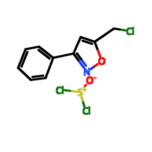 ClCc1cc(-c2ccccc2)no1.[O-][S+](Cl)Cl